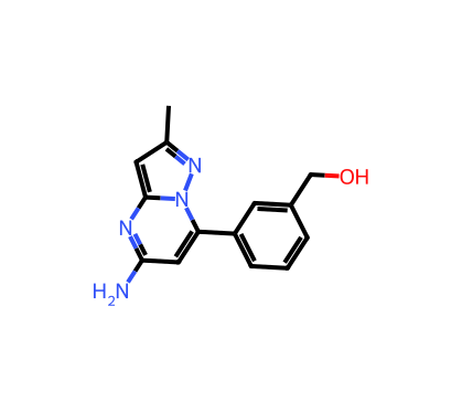 Cc1cc2nc(N)cc(-c3cccc(CO)c3)n2n1